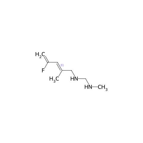 C=C(F)/C=C(\C)CNCNC